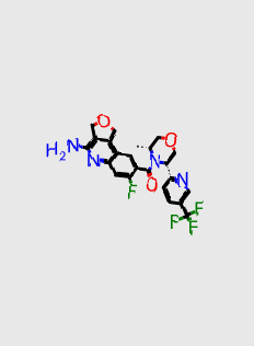 C[C@@H]1COC[C@H](c2ccc(C(F)(F)F)cn2)N1C(=O)c1cc2c3c(c(N)nc2cc1F)COC3